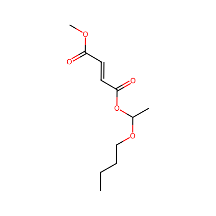 CCCCOC(C)OC(=O)C=CC(=O)OC